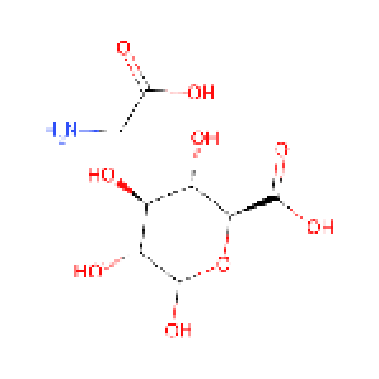 NCC(=O)O.O=C(O)[C@H]1OC(O)[C@H](O)[C@@H](O)[C@@H]1O